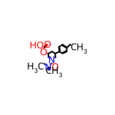 CCc1ccc(C2CC(OC(=O)O)CN(C(=O)N(C)CC)C2)cc1